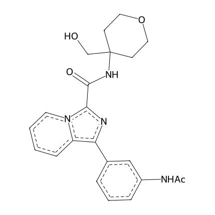 CC(=O)Nc1cccc(-c2nc(C(=O)NC3(CO)CCOCC3)n3ccccc23)c1